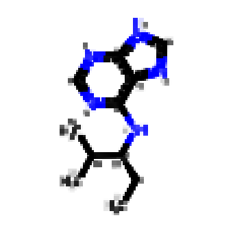 CC[C@H](Nc1ncnc2[nH]cnc12)C(C)C